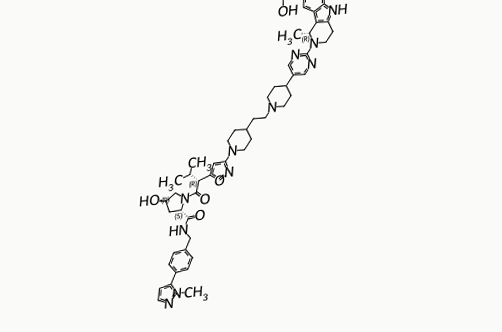 CC(C)[C@@H](C(=O)N1C[C@H](O)C[C@H]1C(=O)NCc1ccc(-c2ccnn2C)cc1)c1cc(N2CCC(CCN3CCC(c4cnc(N5CCc6[nH]c7nnc(-c8ccccc8O)cc7c6[C@H]5C)nc4)CC3)CC2)no1